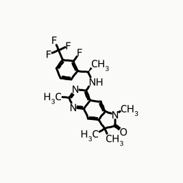 Cc1nc(N[C@H](C)c2cccc(C(F)(F)F)c2F)c2cc3c(cc2n1)C(C)(C)C(=O)N3C